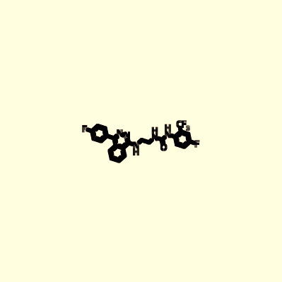 O=C(NCCNc1nnc(-c2ccc(F)cc2)c2ccccc12)Nc1ccc(F)cc1C(F)(F)F